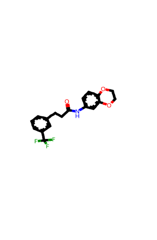 O=C(CCc1cccc(C(F)(F)F)c1)Nc1ccc2c(c1)OCCO2